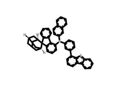 c1cc(-c2cccc3c2sc2ccccc23)cc(N(c2ccc3ccccc3c2)c2cccc3c2-c2ccccc2C32[C@H]3CC4C[C@H](C3)C[C@@H]2C4)c1